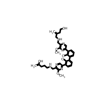 C=C(O)CCCNCc1ncc(-c2cccc(-c3cccc(-c4cnc(CNCC(=C)CCO)c(OC)n4)c3Cl)c2Cl)nc1OC